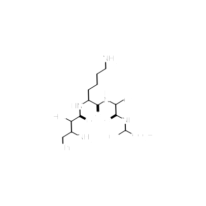 CC(C)CC(N)C(O)C(=O)NC(CCCCN)C(=O)NC(C(=O)NC(C(=O)O)C(C)C)C(C)C